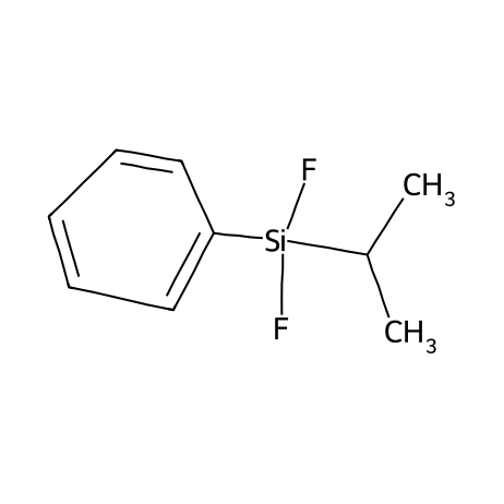 CC(C)[Si](F)(F)c1ccccc1